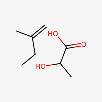 C=C(C)CC.CC(O)C(=O)O